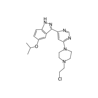 CC(C)Oc1ccc2[nH]nc(-c3cc(N4CCN(CCCl)CC4)ncn3)c2c1